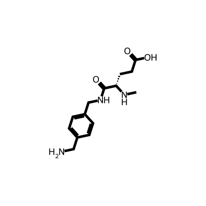 CN[C@@H](CCC(=O)O)C(=O)NCc1ccc(CN)cc1